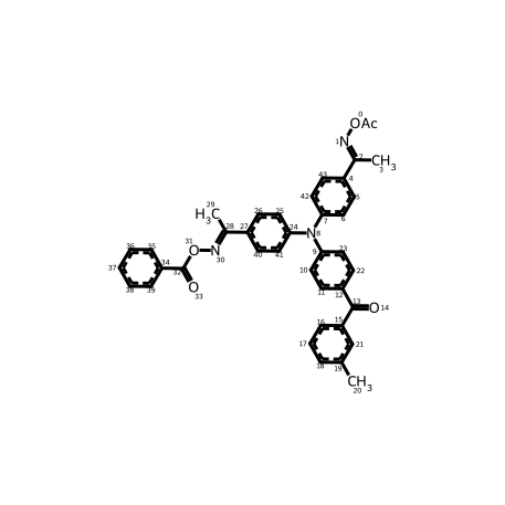 CC(=O)ON=C(C)c1ccc(N(c2ccc(C(=O)c3cccc(C)c3)cc2)c2ccc(/C(C)=N/OC(=O)c3ccccc3)cc2)cc1